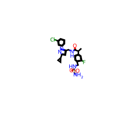 CC(C(=O)NCc1cc(C2CC2)nn1-c1cccc(Cl)c1)c1ccc(CNS(N)(=O)=O)c(F)c1